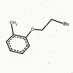 CCC(C)CCOc1ccccc1C